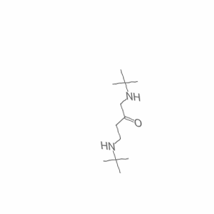 CC(C)(C)NCCC(=O)CNC(C)(C)C